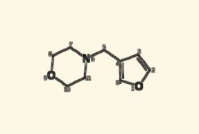 [c]1occc1CN1CCOCC1